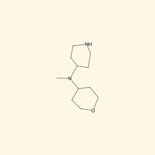 CN(C1CCNCC1)C1CCOCC1